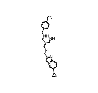 N#Cc1ccc(CNS/C(C=N)=C/NCc2cn3cc(C4CC4)ccc3n2)cc1